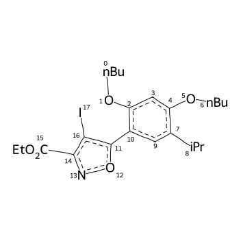 CCCCOc1cc(OCCCC)c(C(C)C)cc1-c1onc(C(=O)OCC)c1I